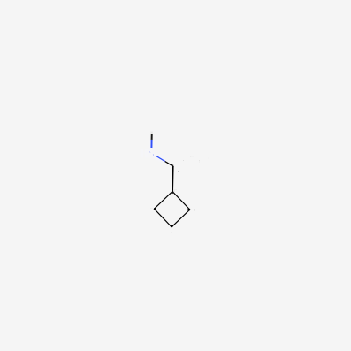 CCN[C@H](C)C1CCC1